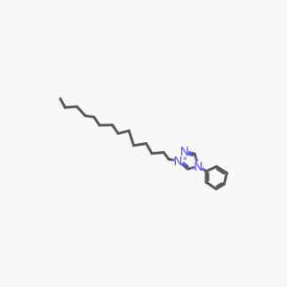 CCCCCCCCCCCCCC[n+]1cn(-c2ccccc2)cn1